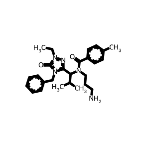 CCn1nc(C(C(C)C)N(CCCN)C(=O)c2ccc(C)cc2)n(Cc2ccccc2)c1=O